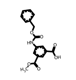 COC(=O)c1cc(NC(=O)OCc2ccccc2)cc(C(=O)O)c1